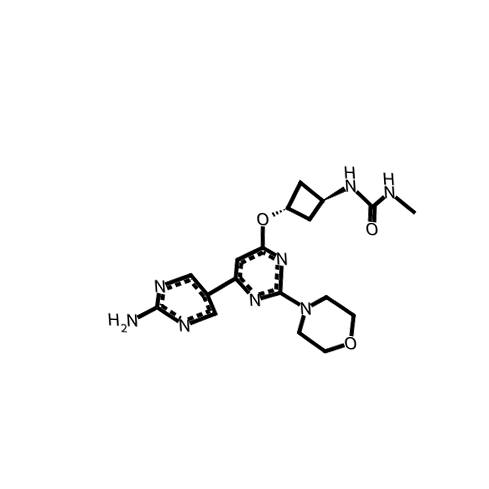 CNC(=O)N[C@H]1C[C@H](Oc2cc(-c3cnc(N)nc3)nc(N3CCOCC3)n2)C1